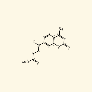 CCN(CCC(=O)OC)c1ccc2c(O)cc(=O)oc2c1